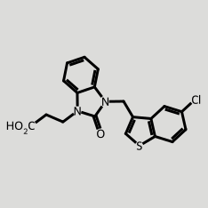 O=C(O)CCn1c(=O)n(Cc2csc3ccc(Cl)cc23)c2ccccc21